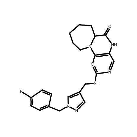 O=C1Nc2cnc(NCc3cnn(Cc4ccc(F)cc4)c3)nc2N2CCCCCC12